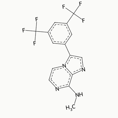 CNc1nccn2c(-c3cc(C(F)(F)F)cc(C(F)(F)F)c3)cnc12